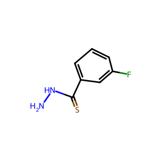 NNC(=S)c1cccc(F)c1